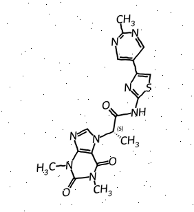 Cc1ncc(-c2csc(NC(=O)[C@H](C)n3cnc4c3c(=O)n(C)c(=O)n4C)n2)cn1